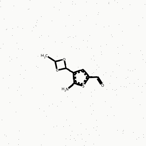 CC1OC(c2cc(C=O)sc2N)O1